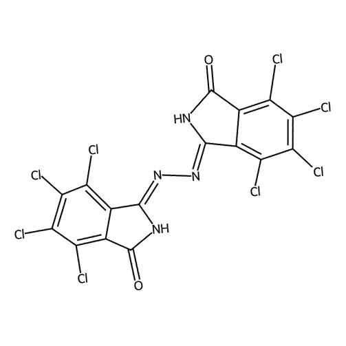 O=C1NC(=NN=C2NC(=O)c3c(Cl)c(Cl)c(Cl)c(Cl)c32)c2c(Cl)c(Cl)c(Cl)c(Cl)c21